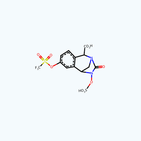 O=C(O)C1c2ccc(OS(=O)(=O)C(F)(F)F)cc2C2CN1C(=O)N2OS(=O)(=O)O